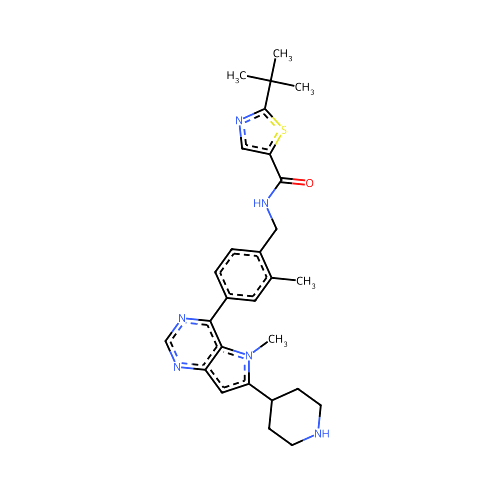 Cc1cc(-c2ncnc3cc(C4CCNCC4)n(C)c23)ccc1CNC(=O)c1cnc(C(C)(C)C)s1